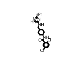 CCCc1n[nH]c(NCC2CCC(NC(=O)c3cc(Cl)ccc3Cl)CC2)n1